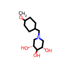 COC1CCC(CN2C[C@@H](O)C(O)[C@@H](O)C2)CC1